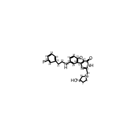 O=c1[nH]c(CN2CC[C@H](O)C2)nc2c1oc1ccc(NCCc3cccc(F)c3)cc12